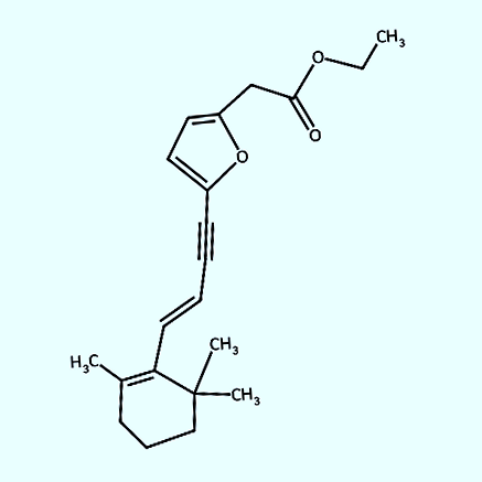 CCOC(=O)Cc1ccc(C#CC=CC2=C(C)CCCC2(C)C)o1